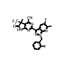 Cc1nc2c(cc1F)c(-c1nc(C#N)c3c(n1)NC(=O)C3(C)C(F)(F)F)nn2Cc1ccccc1F